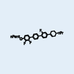 CCCCCOc1ccc(-c2ccc(-c3ccc(C4=CCC(CCC)CC4)cc3F)cc2)c(F)c1F